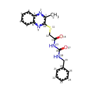 Cc1nc2ccccc2nc1SCC(=O)NC(=O)NCc1ccccc1